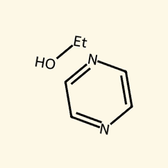 CCO.c1cnccn1